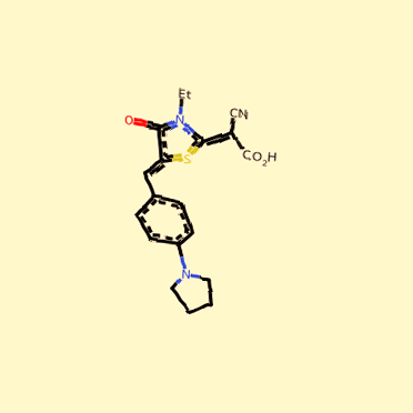 CCn1c(=O)c(=Cc2ccc(N3CCCC3)cc2)s/c1=C(/C#N)C(=O)O